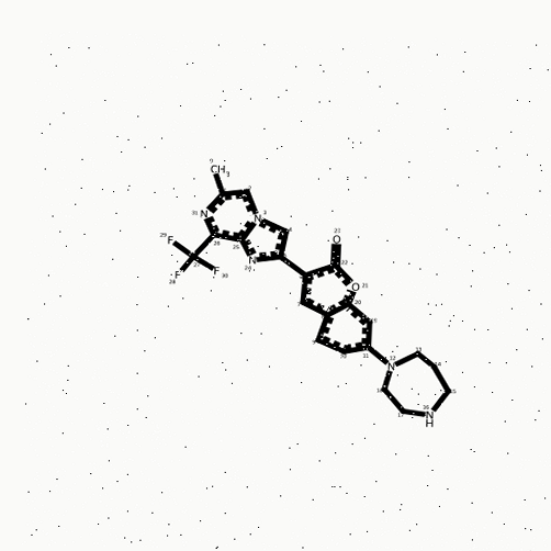 Cc1cn2cc(-c3cc4ccc(N5CCCNCC5)cc4oc3=O)nc2c(C(F)(F)F)n1